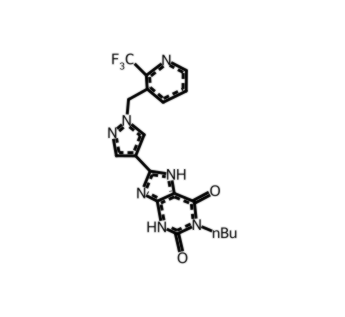 CCCCn1c(=O)[nH]c2nc(-c3cnn(Cc4cccnc4C(F)(F)F)c3)[nH]c2c1=O